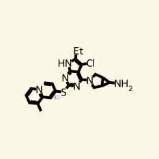 C=C/C(=C\c1ncccc1C)Sc1nc(N2CC3C(N)C3C2)c2c(Cl)c(CC)[nH]c2n1